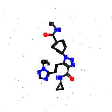 CCNC(=O)c1ccc(-n2nnc(C(=O)NC3CC3)c2C=Cc2ncnn2C)cc1